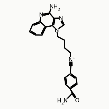 NC(=O)c1ccc(C#[N+]CCCCn2cnc3c(N)nc4ccccc4c32)cc1